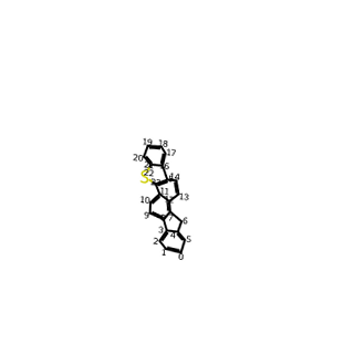 c1ccc2c(c1)Cc1c-2ccc2c1ccc1c3ccccc3sc21